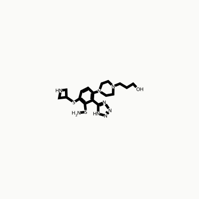 NSc1c(SC2CNC2)ccc(N2CCN(CCCO)CC2)c1-c1nnn[nH]1